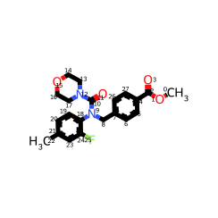 COC(=O)c1ccc(CN(C(=O)N2CCOCC2)c2ccc(C)cc2F)cc1